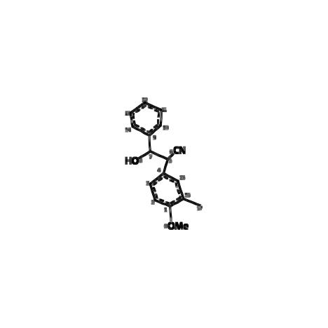 COc1ccc(C(C#N)C(O)c2ccccc2)cc1C